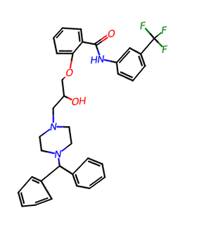 O=C(Nc1cccc(C(F)(F)F)c1)c1ccccc1OCC(O)CN1CCN(C(c2ccccc2)c2ccccc2)CC1